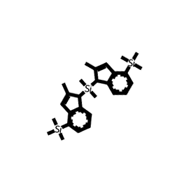 CC1=Cc2c(cccc2[Si](C)(C)C)C1[Si](C)(C)C1C(C)=Cc2c1cccc2[Si](C)(C)C